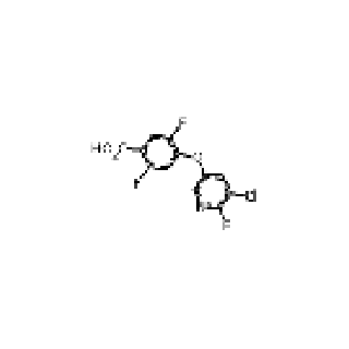 O=C(O)c1cc(F)c(Oc2cnc(F)c(Cl)c2)cc1F